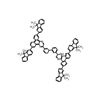 CC1(C)c2ccccc2-c2ccc(-c3ccc4c(c3)c3c(c5cc(-c6ccc7c(c6)C(C)(C)c6ccccc6-7)ccc54)NC(c4cccc(C5C=C(c6cnc7c8cc(-c9ccc%10c(c9)C(C)(C)c9ccccc9-%10)ccc8c8ccc(-c9ccc%10c(c9)C(C)(C)c9ccccc9-%10)cc8c7n6)C=CC5)c4)C=N3)cc21